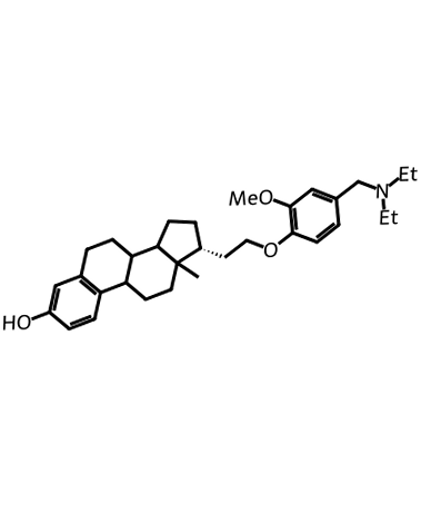 CCN(CC)Cc1ccc(OCC[C@H]2CCC3C4CCc5cc(O)ccc5C4CCC32C)c(OC)c1